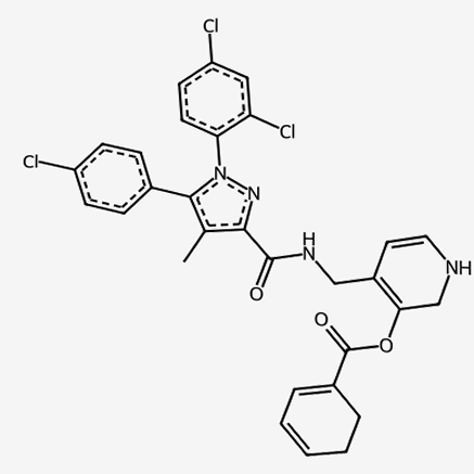 Cc1c(C(=O)NCC2=C(OC(=O)C3=CC=CCC3)CNC=C2)nn(-c2ccc(Cl)cc2Cl)c1-c1ccc(Cl)cc1